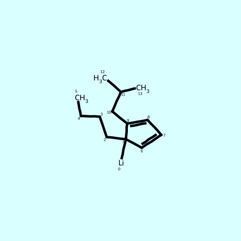 [Li][C]1(CCCC)C=CC=C1CC(C)C